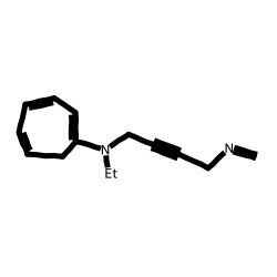 C=NCC#CCN(CC)C1=CC=CC=CC1